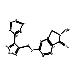 CCCCN1Cc2cc(OCc3c[nH]nc3-c3ccccc3)ccc2C1=O